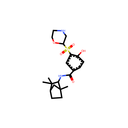 CC12CCC(C1)C(C)(C)C2NC(=O)c1ccc(O)c(S(=O)(=O)C2CNCCO2)c1